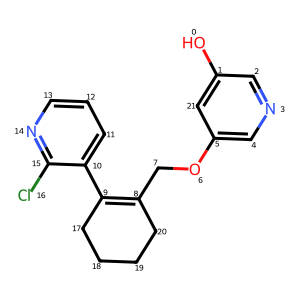 Oc1cncc(OCC2=C(c3cccnc3Cl)CCCC2)c1